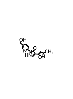 Cc1cc(-c2c[nH]n(-c3ccc(CO)cn3)c2=O)on1